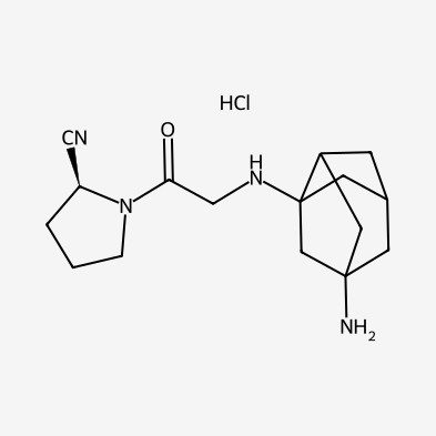 Cl.N#C[C@@H]1CCCN1C(=O)CNC12CC3CC1CC(N)(C3)C2